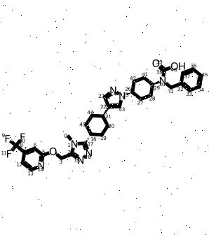 Cn1c(COc2cc(C(F)(F)F)ccn2)nnc1[C@H]1CC[C@H](c2cnn([C@H]3CC[C@H](N(Cc4ccccc4)C(=O)O)CC3)c2)CC1